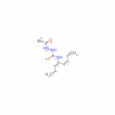 C=C/C=C\C(=C/C=C)NC(=S)NNC(=O)C(C)CC